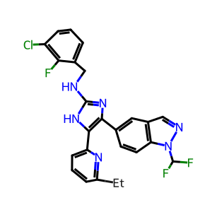 CCc1cccc(-c2[nH]c(NCc3cccc(Cl)c3F)nc2-c2ccc3c(cnn3C(F)F)c2)n1